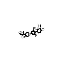 O=C1CCC(c2c(F)cc(N3CCC4(CC3)COC(CO)C4)cc2F)C(=O)N1